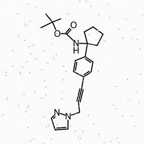 CC(C)(C)OC(=O)NC1(c2ccc(C#CCn3cccn3)cc2)CCCC1